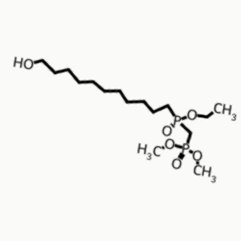 CCOP(=O)(CCCCCCCCCCCO)CP(=O)(OC)OC